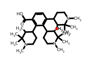 CC1C(c2ccc(C(=O)O)c(C3CCN(C)C(C)(C)C3C)c2C2CCN(C)C(C)(C)C2C)CCN(C)C1(C)C